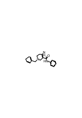 NC1=C(C(=O)Nc2ccccc2)CN(CC2=CCCC=C2)CC1